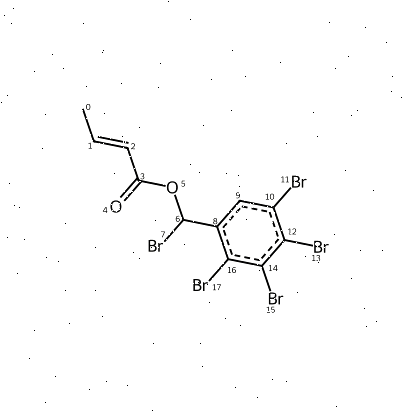 CC=CC(=O)OC(Br)c1cc(Br)c(Br)c(Br)c1Br